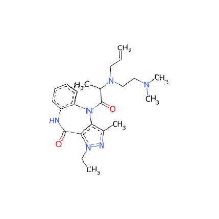 C=CCN(CCN(C)C)C(C)C(=O)N1c2ccccc2NC(=O)c2c1c(C)nn2CC